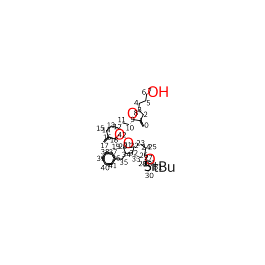 C=C1C[C@H](CCCO)O[C@H]1CC[C@H]1C[C@@H](C)C(=C)[C@@H](C[C@@H]2O[C@H](C[C@H](C)CO[Si](C)(C)C(C)(C)C)[C@H](C)[C@H]2Cc2ccccc2)O1